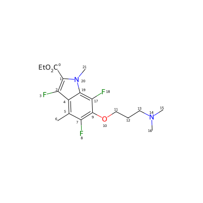 CCOC(=O)c1c(F)c2c(C)c(F)c(OCCCN(C)C)c(F)c2n1C